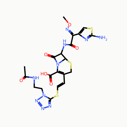 CON=C(C(=O)NC1C(=O)N2C(C(=O)O)=C(C=CSc3nnnn3CCNC(C)=O)CSC12)c1csc(N)n1